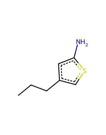 CCCc1csc(N)c1